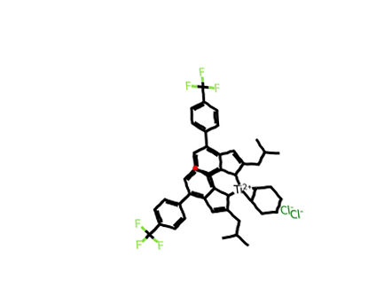 CC(C)CC1=Cc2c(-c3ccc(C(F)(F)F)cc3)cccc2[CH]1[Ti+2]1([CH]2C(CC(C)C)=Cc3c(-c4ccc(C(F)(F)F)cc4)cccc32)[CH]2CCCC[CH]21.[Cl-].[Cl-]